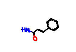 [NH]C(=O)C=Cc1ccccc1